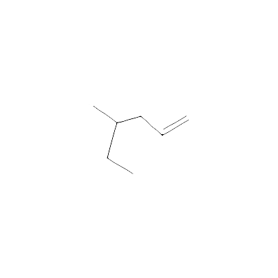 [CH]C(CC)CC=C